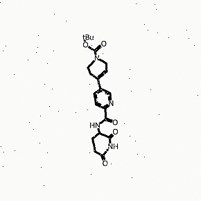 CC(C)(C)OC(=O)N1CC=C(c2ccc(C(=O)NC3CCC(=O)NC3=O)nc2)CC1